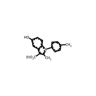 CCOC(=O)c1c(C)n(-c2ccc(C)cc2)c2ccc(O)cc12